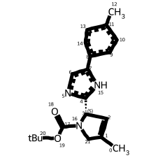 CC1=C[C@@H](c2ncc(-c3ccc(C)cc3)[nH]2)N(C(=O)OC(C)(C)C)C1